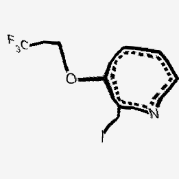 FC(F)(F)COc1cccnc1I